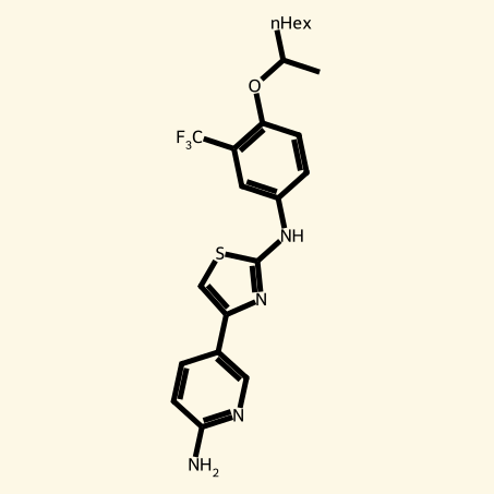 CCCCCCC(C)Oc1ccc(Nc2nc(-c3ccc(N)nc3)cs2)cc1C(F)(F)F